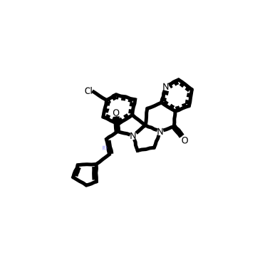 O=C(/C=C/C1=CCC=C1)N1CCN2C(=O)c3cccnc3CC12c1ccc(Cl)cc1